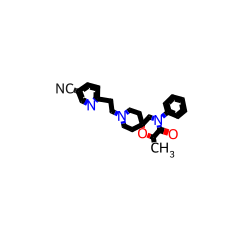 CC1OC2(CCN(CCc3ccc(C#N)cn3)CC2)CN(c2ccccc2)C1=O